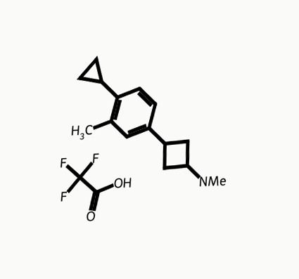 CNC1CC(c2ccc(C3CC3)c(C)c2)C1.O=C(O)C(F)(F)F